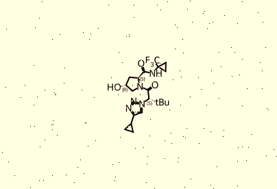 CC(C)(C)[C@@H](C(=O)N1C[C@H](O)C[C@H]1C(=O)NC1(C(F)(F)F)CC1)n1cc(C2CC2)nn1